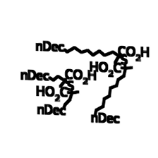 CCCCCCCCCCCCC(C)(SC(C)(CCCCCCCCCCCC)C(=O)O)C(=O)O.CCCCCCCCCCCCCCCCCCC(C)(SC(C)(CCCCCCCCCCCCCCCCCC)C(=O)O)C(=O)O